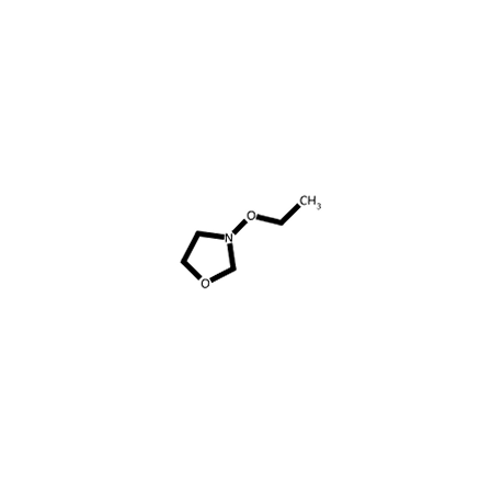 CCON1CCOC1